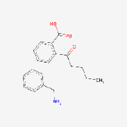 CCCCC(=O)c1ccccc1C(=O)O.NCc1ccccc1